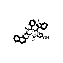 CN(Cc1ccccc1)C(=O)[C@H](Cc1ccc2ccccc2c1)NC(=O)[C@H]1C[C@H](O)CN1C(=O)c1cn(C)c2ccccc12